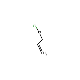 C=C[CH2][Pt][Cl]